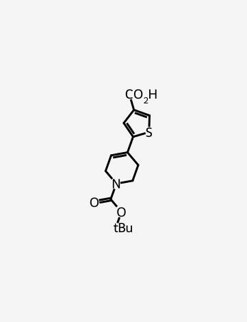 CC(C)(C)OC(=O)N1CC=C(c2cc(C(=O)O)cs2)CC1